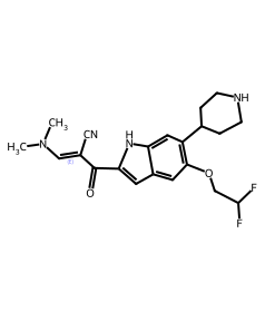 CN(C)/C=C(\C#N)C(=O)c1cc2cc(OCC(F)F)c(C3CCNCC3)cc2[nH]1